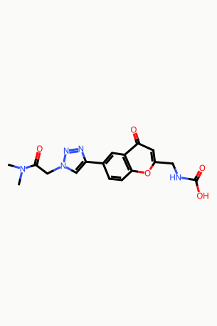 CN(C)C(=O)Cn1cc(-c2ccc3oc(CNC(=O)O)cc(=O)c3c2)nn1